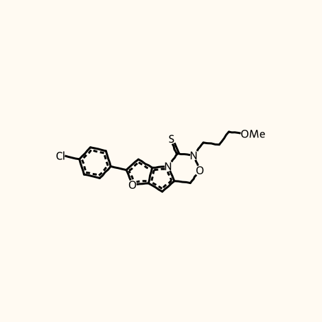 COCCCN1OCc2cc3oc(-c4ccc(Cl)cc4)cc3n2C1=S